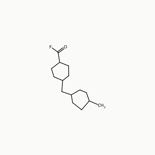 CC1CCC(CC2CCC(C(=O)F)CC2)CC1